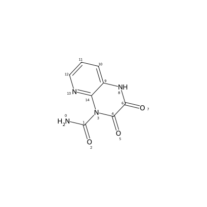 NC(=O)n1c(=O)c(=O)[nH]c2cccnc21